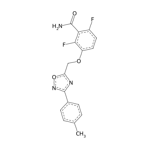 Cc1ccc(-c2noc(COc3ccc(F)c(C(N)=O)c3F)n2)cc1